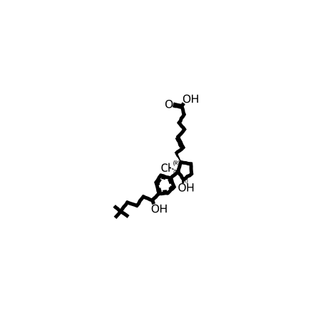 CC(C)(C)CCCC(O)c1ccc([C@@]2(Cl)[C@@H](CC=CCCCC(=O)O)CC[C@H]2O)cc1